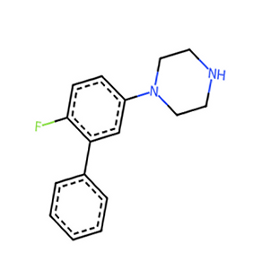 Fc1ccc(N2CCNCC2)cc1-c1ccccc1